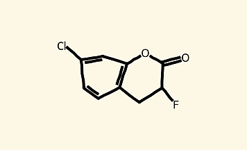 O=C1Oc2cc(Cl)ccc2CC1F